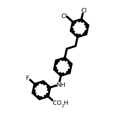 O=C(O)c1ccc(F)cc1Nc1ccc(CCc2ccc(Cl)c(Cl)c2)cc1